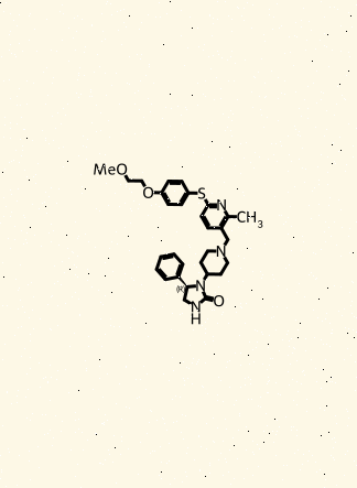 COCCOc1ccc(Sc2ccc(CN3CCC(N4C(=O)NC[C@H]4c4ccccc4)CC3)c(C)n2)cc1